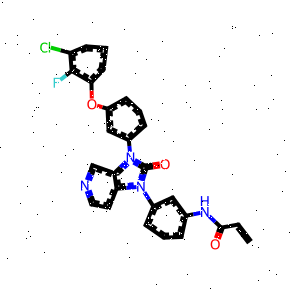 C=CC(=O)Nc1cccc(-n2c(=O)n(-c3cccc(Oc4cccc(Cl)c4F)c3)c3cnccc32)c1